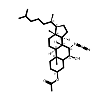 CC(=O)O[C@H]1CC[C@@]2(C)C(C1)[C@H](O)[C@@H](N=[N+]=[N-])[C@H]1[C@@H]3CC[C@H]([C@H](C)CCCC(C)C)[C@@]3(C)CC[C@@H]12